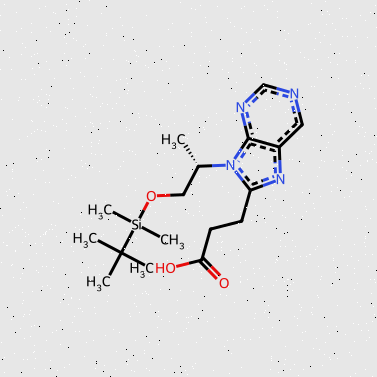 C[C@@H](CO[Si](C)(C)C(C)(C)C)n1c(CCC(=O)O)nc2cncnc21